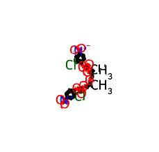 CC(COC(=O)Oc1ccc([N+](=O)[O-])cc1Cl)OCC(C)OC(=O)Oc1ccc([N+](=O)[O-])cc1Cl